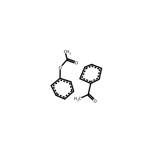 CC(=O)Oc1ccccc1.CC(=O)c1ccccc1